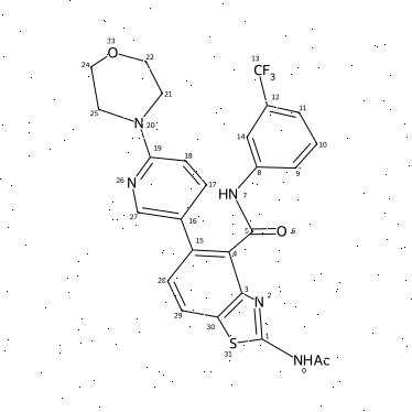 CC(=O)Nc1nc2c(C(=O)Nc3[c]ccc(C(F)(F)F)c3)c(-c3ccc(N4CCOCC4)nc3)ccc2s1